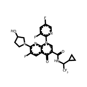 O=C(NC(C1CC1)C(F)(F)F)c1cn(-c2ncc(F)cc2F)c2nc(N3CCC(O)C3)c(F)cc2c1=O